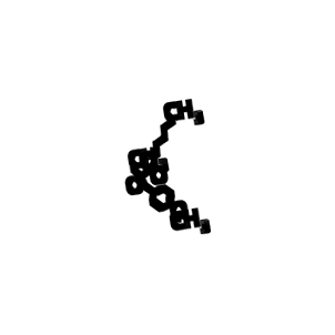 CCCCCCOC(=O)C1(CC)OC1c1ccc(OC)cc1